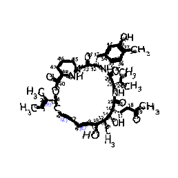 C/C=C(\C)[C@@H]1C/C=C/C=C/[C@H](O)[C@H](C)[C@@H](O)[C@@H](CCC(C)=O)C(=O)N[C@@H](C(C)C)C(=O)N[C@@H](Cc2ccc(C)c(O)c2)C(=O)N2CCCC(N2)C(=O)O1